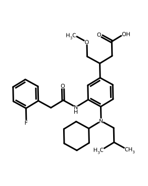 COCC(CC(=O)O)c1ccc(N(CC(C)C)C2CCCCC2)c(NC(=O)Cc2ccccc2F)c1